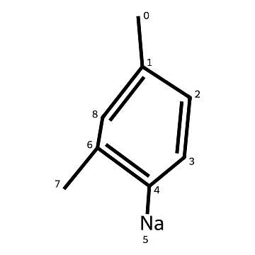 Cc1cc[c]([Na])c(C)c1